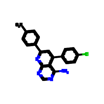 Nc1ncnc2nc(-c3ccc([N+](=O)[O-])cc3)cc(-c3ccc(Cl)cc3)c12